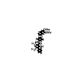 COc1cc2nccc(Oc3cc(F)c(NC(=O)c4c(C)nc(C)c(-c5ccc(F)cc5F)c4O)cc3F)c2nc1OC